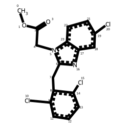 COC(=O)Cn1c(Cc2c(Cl)cccc2Cl)nc2cc(Cl)ccc21